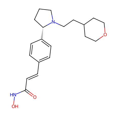 O=C(C=Cc1ccc([C@@H]2CCCN2CCC2CCOCC2)cc1)NO